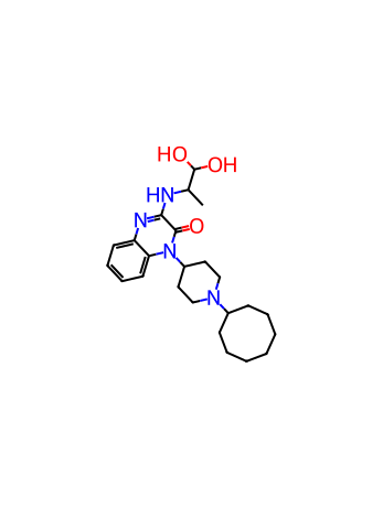 CC(Nc1nc2ccccc2n(C2CCN(C3CCCCCCC3)CC2)c1=O)C(O)O